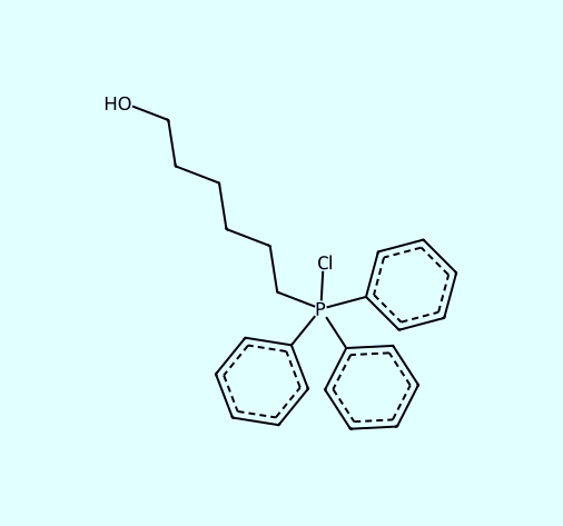 OCCCCCCP(Cl)(c1ccccc1)(c1ccccc1)c1ccccc1